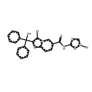 CCc1c(C(O)(c2ccccc2)c2ccccc2)nc2ccc(C(=O)Nc3ncn(CC)n3)cn12